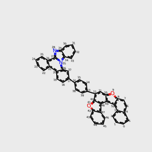 c1ccc2c(c1)ccc1oc3cc(-c4ccc(-c5ccc6c7ccccc7c7nc8ccccc8n7c6c5)cc4)c4oc5ccccc5c4c3c12